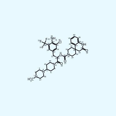 CN1CCN(C2CCN(C(=O)[C@@H](Cc3cc(Cl)c(N)c(C(F)(F)F)c3)OC(=O)N3CCC4(CC3)CC(=O)Nc3ccccc34)CC2)CC1